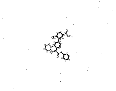 CN(C(=O)Cc1ccccc1)c1ncc(-c2cc(C(N)=O)ccc2Cl)cc1N1CCCCC1